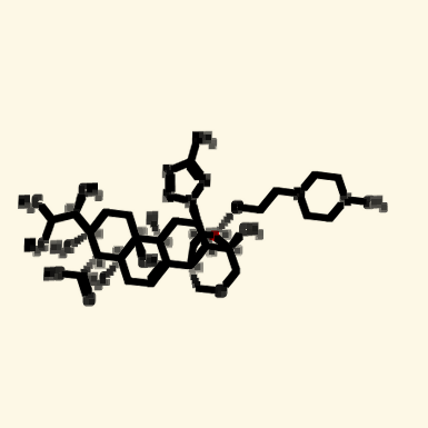 CC(C)[C@@H](C)[C@@]1(C)CC[C@]2(C)[C@H]3CC[C@@H]4[C@@]5(COC[C@@]4(C)[C@@H](OCCN4CCN(C)CC4)[C@H](n4nnc(N)n4)C5)C3=CC[C@@]2(C)[C@@H]1C(=O)O